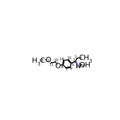 CC/C(=N\O)c1ccc(OCCOC)cc1